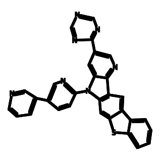 c1cncc(-c2ccc(-n3c4cc5sc6ccccc6c5cc4c4ncc(-c5ncncn5)cc43)nc2)c1